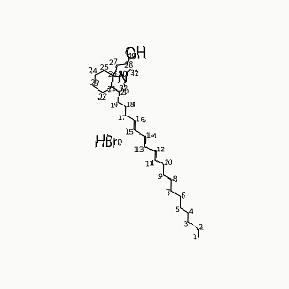 Br.CCCCCCCCCCCCCCCCCCCCC1CCCCC1(CCO)N(C)C